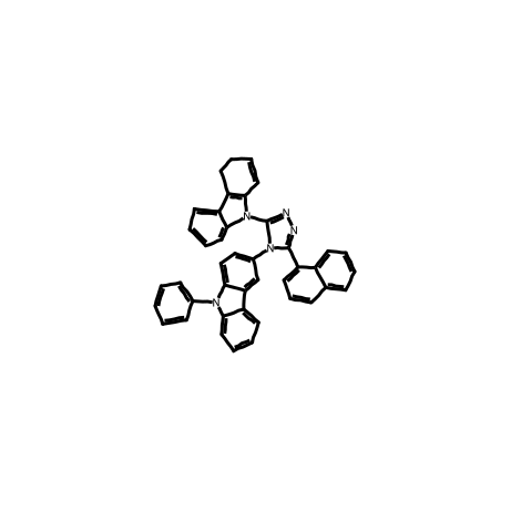 C1=Cc2c(c3ccccc3n2-c2nnc(-c3cccc4ccccc34)n2-c2ccc3c(c2)c2ccccc2n3-c2ccccc2)CC1